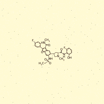 CCS(=O)(=O)Nc1cc2oc(-c3ccc(F)cc3)c(C(=O)NC)c2cc1C1C[C@@H](C(=O)Nc2c(O)cccc2F)N(C)C1